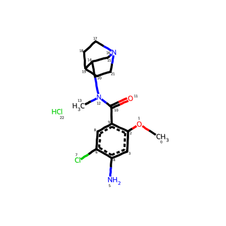 COc1cc(N)c(Cl)cc1C(=O)N(C)C1CN2CCC1CC2.Cl